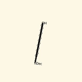 CCCCCCCCCCCCCCCCCCOCCOCCOCCOCCOCCOCCOCCOCCOCCOCCOCCOCCOCCO